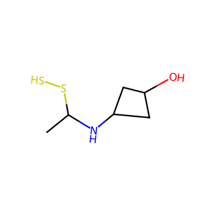 CC(NC1CC(O)C1)SS